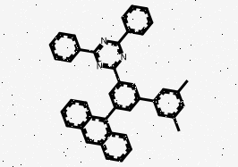 Cc1cc(C)cc(-c2cc(-c3nc(-c4ccccc4)nc(-c4ccccc4)n3)cc(-c3c4ccccc4cc4ccccc34)c2)c1